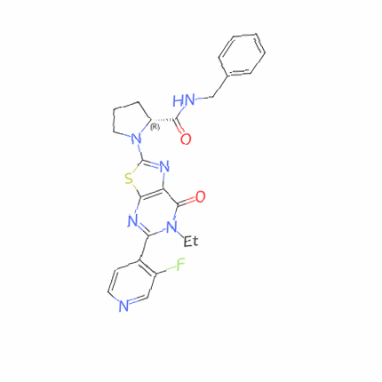 CCn1c(-c2ccncc2F)nc2sc(N3CCC[C@@H]3C(=O)NCc3ccccc3)nc2c1=O